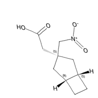 O=C(O)C[C@@]1(C[N+](=O)[O-])C[C@H]2CC[C@H]2C1